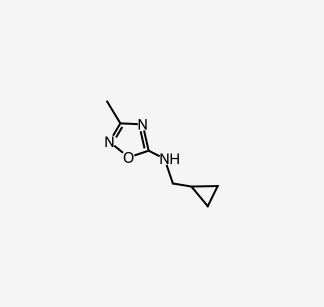 Cc1noc(NCC2CC2)n1